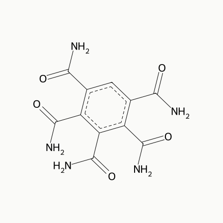 NC(=O)c1cc(C(N)=O)c(C(N)=O)c(C(N)=O)c1C(N)=O